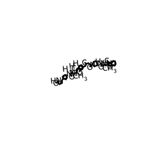 Cc1c([C@H](C)NC(=O)NC2CCN(C(=O)CC(C)Cc3ccc4c(C)c([C@@H](C)NC(=O)Nc5ccc(C6CCC(=O)N6)cc5)oc4c3)CC2)oc2ccccc12